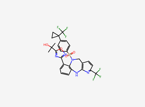 CC(C)(O)c1nc(-c2cccc3c2N(S(=O)(=O)c2ccc(C4(C(F)(F)F)CC4)cc2)Cc2ccc(C(F)(F)F)nc2N3)no1